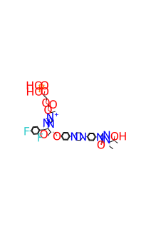 CC[C@@H]([C@H](C)O)n1ncn(-c2ccc(N3CCN(c4ccc(OC[C@@H]5CO[C@@](Cn6c[n+](C(C)OC(=O)OCCOP(=O)(O)O)cn6)(c6ccc(F)cc6F)C5)cc4)CC3)cc2)c1=O